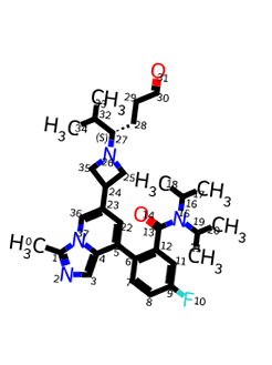 Cc1ncc2c(-c3ccc(F)cc3C(=O)N(C(C)C)C(C)C)cc(C3CN([C@@H](CCC=O)C(C)C)C3)cn12